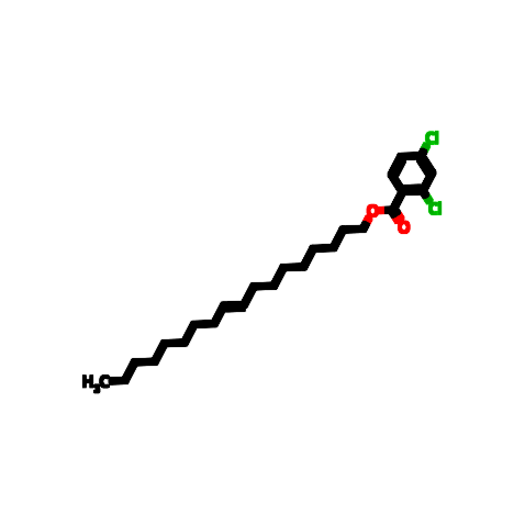 CCCCCCCCC=CCCCCCCCCOC(=O)c1ccc(Cl)cc1Cl